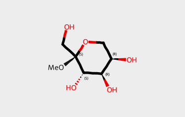 CO[C@@]1(CO)OC[C@@H](O)[C@@H](O)[C@@H]1O